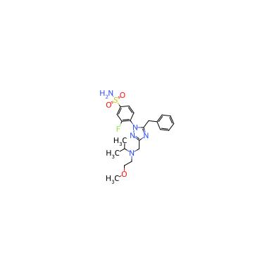 COCCN(Cc1nc(Cc2ccccc2)n(-c2ccc(S(N)(=O)=O)cc2F)n1)C(C)C